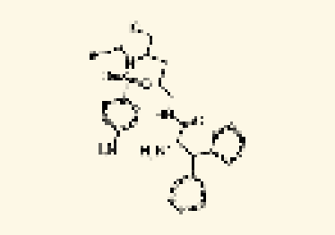 CC(C)CN(C(CO)CCCNC(=O)[C@@H](N)C(c1ccccc1)c1ccccc1)S(=O)(=O)c1ccc(N)cc1